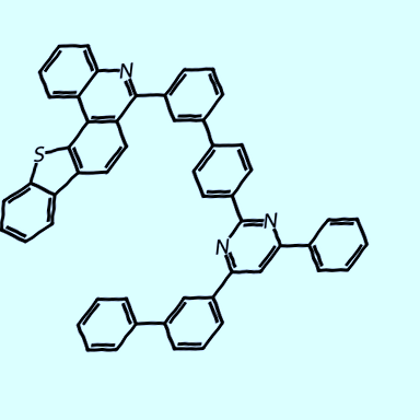 c1ccc(-c2cccc(-c3cc(-c4ccccc4)nc(-c4ccc(-c5cccc(-c6nc7ccccc7c7c6ccc6c8ccccc8sc67)c5)cc4)n3)c2)cc1